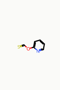 S=COc1ccccn1